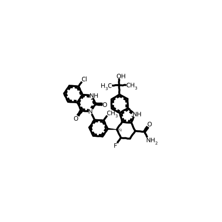 Cc1c([C@H]2c3c([nH]c4cc(C(C)(C)O)ccc34)C(C(N)=O)CC2F)cccc1-n1c(=O)[nH]c2c(Cl)cccc2c1=O